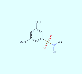 COc1cc(C(=O)O)cc(S(=O)(=O)N(C(C)C)C(C)C)c1